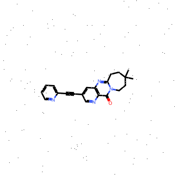 CC1(C)CCc2nc3cc(C#Cc4ccccn4)cnc3c(=O)n2CC1